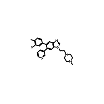 Cc1ccc(-c2cc3ncn(CCN4CCN(C)CC4)c3cc2-c2cccnc2)cc1F